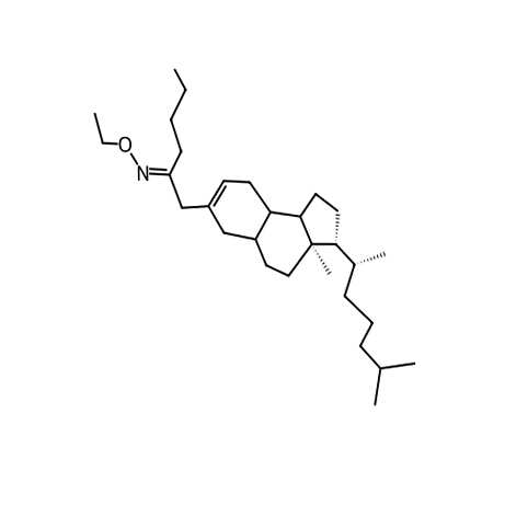 CCCC/C(CC1=CCC2C(CC[C@@]3(C)C2CC[C@@H]3[C@H](C)CCCC(C)C)C1)=N\OCC